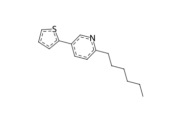 CCCCCCc1ccc(-c2cccs2)cn1